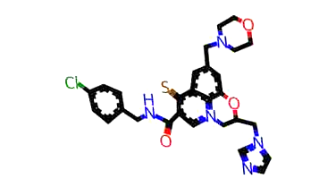 O=C(NCc1ccc(Cl)cc1)c1cn2c3c(cc(CN4CCOCC4)cc3c1=S)OC(Cn1ccnc1)C2